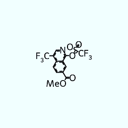 COC(=O)c1ccc2c(C(F)(F)F)cnc(OS(=O)(=O)C(F)(F)F)c2c1